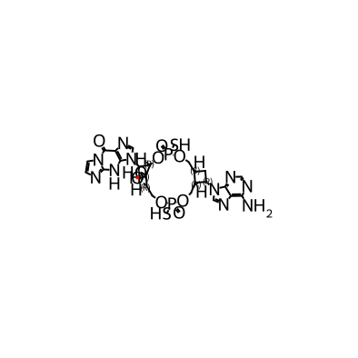 Nc1ncnc2c1ncn2[C@@H]1C[C@@H]2COP(=O)(S)O[C@H]3C(n4cnc5c(=O)n6ccnc6[nH]c54)O[C@H](COP(=O)(S)OC[C@H]21)[C@H]3O